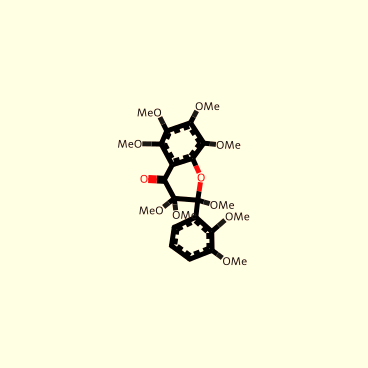 COc1cccc(C2(OC)Oc3c(OC)c(OC)c(OC)c(OC)c3C(=O)C2(OC)OC)c1OC